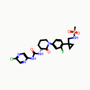 CS(=O)(=O)NCC1(c2ccc(N3CCC[C@@H](NC(=O)Nc4cnc(Cl)cn4)C3=O)cc2F)CC1